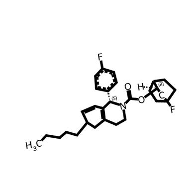 CCCCCC1C=CC2=C(CCN(C(=O)O[C@@H]3CC4(F)CCC3CC4)[C@H]2c2ccc(F)cc2)C1